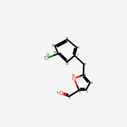 O=Cc1ccc(Cc2cccc(Cl)c2)o1